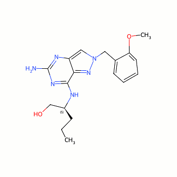 CCC[C@@H](CO)Nc1nc(N)nc2cn(Cc3ccccc3OC)nc12